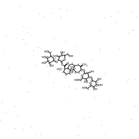 C=C1CC2CCC3[C@](C)(C(=O)OC4OC(CO)C(O)C(O)C4OC4CC(CO)C(O)C(O)C4O)CCC[C@@]3(C)[C@@H]2CCC1OC1OC(CO)C(O)C(OC2OC(CO)C(O)C(O)C2O)C1O